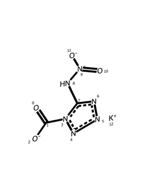 O=C([O-])n1nnnc1N[N+](=O)[O-].[K+]